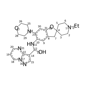 CCN1CCC2(CC1)Cc1cc(NC(O)c3cnn4cccnc34)c(N3CCOCC3)cc1O2